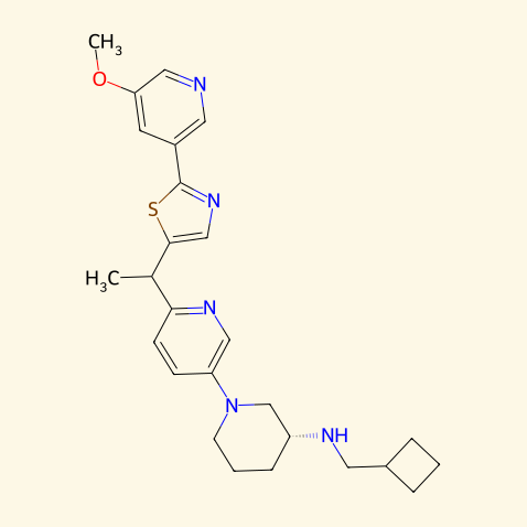 COc1cncc(-c2ncc(C(C)c3ccc(N4CCC[C@@H](NCC5CCC5)C4)cn3)s2)c1